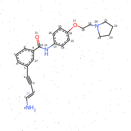 N/C=C/C#Cc1cccc(C(=O)Nc2ccc(OCCN3CCCC3)cc2)c1